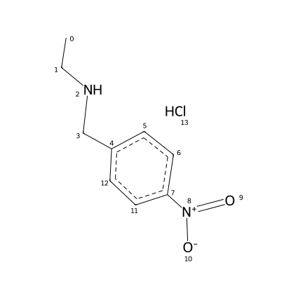 CCNCc1ccc([N+](=O)[O-])cc1.Cl